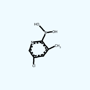 Cc1cc(Cl)cnc1B(O)O